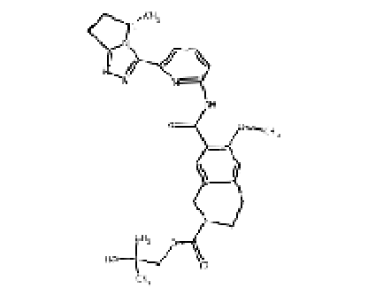 COc1cc2c(cc1C(=O)Nc1cccc(-c3nnc4n3[C@@H](C)CC4)n1)CN(C(=O)OCC(C)(C)O)CC2